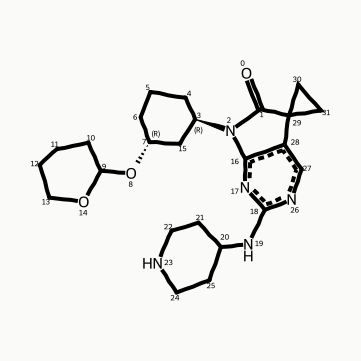 O=C1N([C@@H]2CCC[C@@H](OC3CCCCO3)C2)c2nc(NC3CCNCC3)ncc2C12CC2